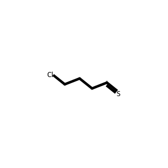 S=[C]CCCCl